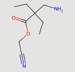 CCC(CC)(CN)C(=O)OCC#N